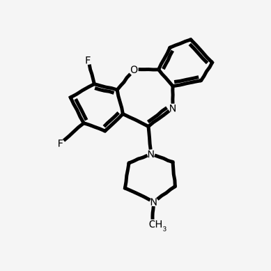 CN1CCN(C2=Nc3ccccc3Oc3c(F)cc(F)cc32)CC1